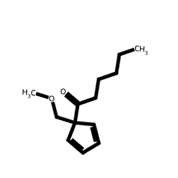 CCCCCC(=O)C1(COC)C=CC=C1